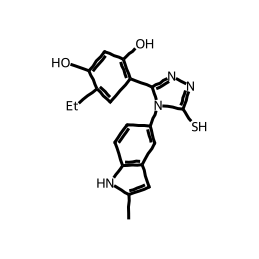 CCc1cc(-c2nnc(S)n2-c2ccc3[nH]c(C)cc3c2)c(O)cc1O